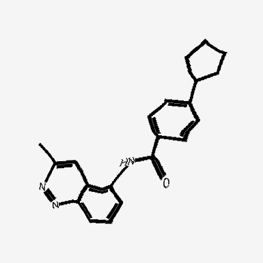 Cc1cc2c(NC(=O)c3ccc(C4CCCC4)cc3)cccc2nn1